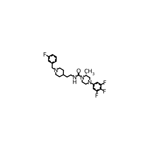 C[C@@H]1CN(c2cc(F)c(F)c(F)c2)CCN1C(=O)NCCC1CCN(Cc2cccc(F)c2)CC1